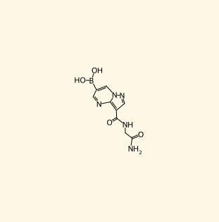 NC(=O)CNC(=O)c1cnn2cc(B(O)O)cnc12